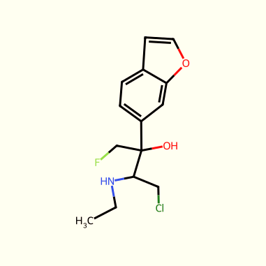 CCNC(CCl)C(O)(CF)c1ccc2ccoc2c1